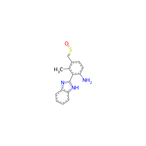 Cc1c(C=S=O)ccc(N)c1-c1nc2ccccc2[nH]1